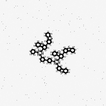 c1ccc(-c2nc(-c3cccc(-c4ccc(-c5nc(-c6ccc7sc8ccccc8c7c6)nc(-c6ccc(-c7ccc8sc9ccccc9c8c7)c7oc8ccccc8c67)n5)cc4)c3)nc(-c3ccc(-c4ccc5sc6ccccc6c5c4)c4sc5ccccc5c34)n2)cc1